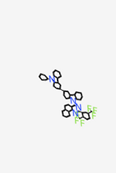 FC(F)(F)c1ccc(C(F)(F)F)c(-c2nc(-n3c4ccccc4c4cc(-c5ccc6c(c5)c5ccccc5n6-c5ccccc5)ccc43)c3ccc4ccccc4c3n2)c1